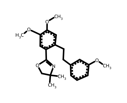 COc1cccc(CCc2cc(OC)c(OC)cc2C2=NC(C)(C)CO2)c1